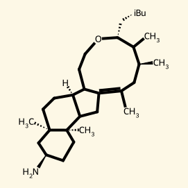 CC[C@@H](C)C[C@H]1OCCC2/C(=C(/C)C[C@H](C)C1C)CC1[C@H]2CC[C@]2(C)C[C@H](N)CC[C@]12C